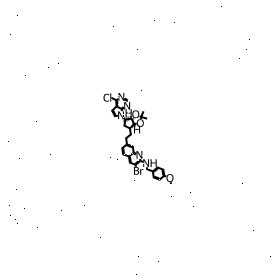 COc1ccc(CNc2nc3cc(CCC4C[C@@H](n5ccc6c(Cl)ncnc65)[C@@H]5OC(C)(C)O[C@H]45)ccc3cc2Br)cc1